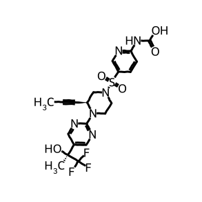 CC#C[C@H]1CN(S(=O)(=O)c2ccc(NC(=O)O)nc2)CCN1c1ncc([C@](C)(O)C(F)(F)F)cn1